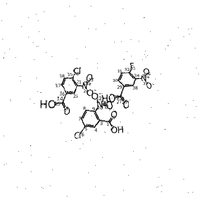 O=C(O)c1cc(Cl)ccc1[N+](=O)[O-].O=C(O)c1ccc(Cl)c([N+](=O)[O-])c1.O=C(O)c1ccc(F)c([N+](=O)[O-])c1